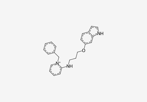 c1ccc(C[n+]2ccccc2NCCCOc2ccc3cc[nH]c3c2)cc1